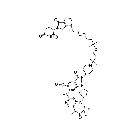 COc1cc(C(=O)NC2CCN(C(C)(C)CCOC(C)(C)CCOCCNc3cccc4c3CN(C3CCC(=O)NC3=O)C4=O)CC2)c(F)cc1Nc1ncc2c(n1)N(C1CCCC1)CC(F)(F)C(=O)N2C